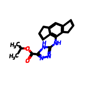 CC(C)OC(=O)c1nnc(Nc2c3c(cc4c2CCC4)CCC3)[nH]1